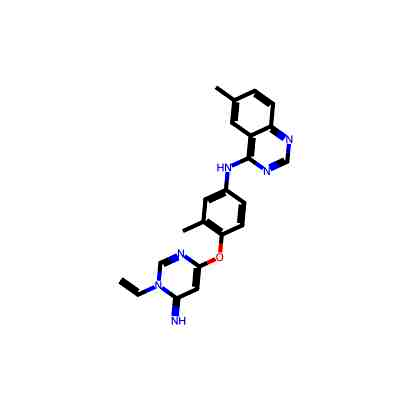 C=Cn1cnc(Oc2ccc(Nc3ncnc4ccc(C)cc34)cc2C)cc1=N